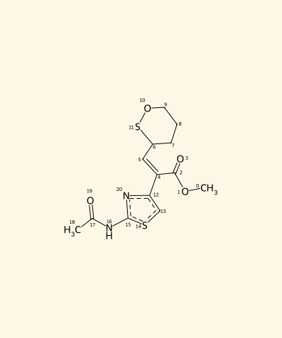 COC(=O)/C(=C\C1CCCOS1)c1csc(NC(C)=O)n1